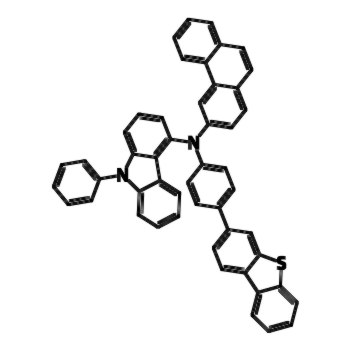 c1ccc(-n2c3ccccc3c3c(N(c4ccc(-c5ccc6c(c5)sc5ccccc56)cc4)c4ccc5ccc6ccccc6c5c4)cccc32)cc1